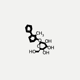 Cc1c(O[C@H]2O[C@H](CO)[C@@H](O)[C@H](O)[C@@H]2O)cccc1-c1ccccc1